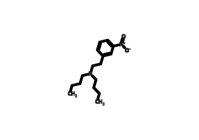 CCCCN(CCCC)CCc1cccc([N+](=O)[O-])c1